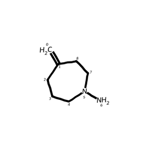 C=C1CCCN(N)CC1